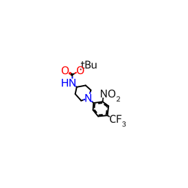 CC(C)(C)OC(=O)NC1CCN(c2ccc(C(F)(F)F)cc2[N+](=O)[O-])CC1